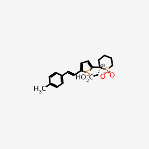 Cc1ccc(C=Cc2ccc([C@@]3(CC(=O)O)CCCCS3(=O)=O)s2)cc1